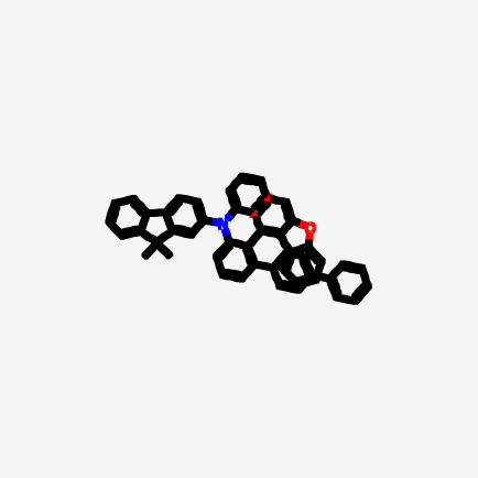 CC1(C)c2ccccc2-c2ccc(N(c3ccccc3)c3cccc(-c4ccc(-c5ccccc5)cc4)c3-c3cccc4oc5ccccc5c34)cc21